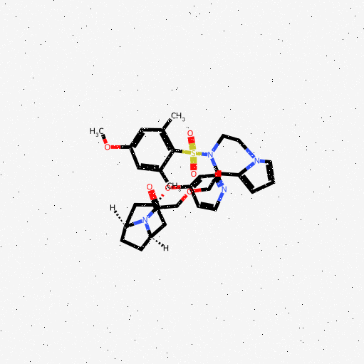 COc1cc(C)c(S(=O)(=O)N2CCn3cccc3C2COCC(=O)N2[C@@H]3CC[C@H]2C[C@H](Oc2ccncc2)C3)c(C)c1